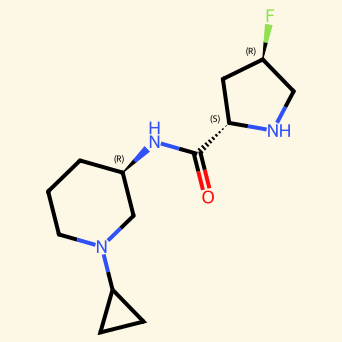 O=C(N[C@@H]1CCCN(C2CC2)C1)[C@@H]1C[C@@H](F)CN1